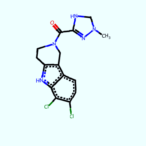 CN1CNC(C(=O)N2CCc3[nH]c4c(Cl)c(Cl)ccc4c3C2)=N1